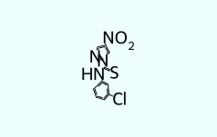 O=[N+]([O-])c1cnn(C(=S)Nc2cccc(Cl)c2)c1